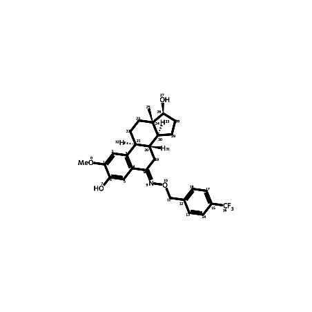 COc1cc2c(cc1O)C(=NOCc1ccc(C(F)(F)F)cc1)C[C@@H]1[C@@H]2CC[C@]2(C)[C@@H](O)CC[C@@H]12